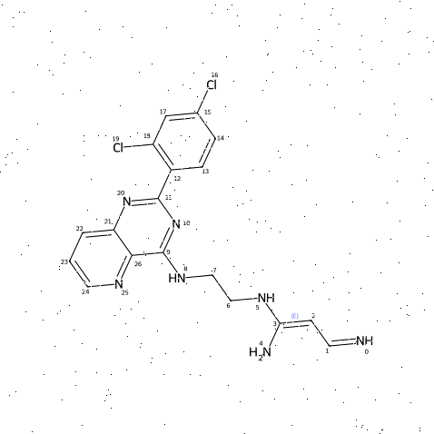 N=C/C=C(\N)NCCNc1nc(-c2ccc(Cl)cc2Cl)nc2cccnc12